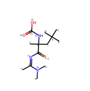 CC(=NC(=S)C(C)(CC(C)(C)C)NC(=O)O)N(C)C